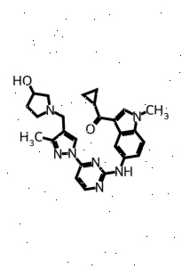 Cc1nn(-c2ccnc(Nc3ccc4c(c3)c(C(=O)C3CC3)cn4C)n2)cc1CN1CCC(O)C1